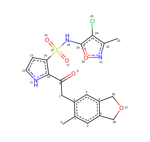 Cc1cc2c(cc1CC(=O)c1[nH]ccc1S(=O)(=O)Nc1onc(C)c1Cl)COC2